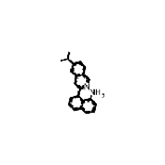 CC(C)c1ccc2cnc(-c3cccc4cccc(N)c34)cc2c1